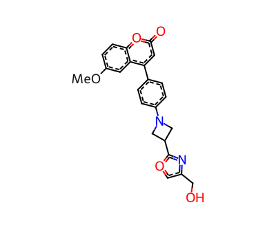 COc1ccc2oc(=O)cc(-c3ccc(N4CC(c5nc(CO)co5)C4)cc3)c2c1